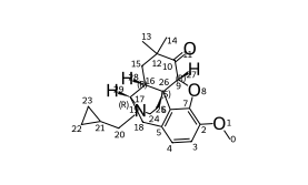 COc1ccc2c3c1O[C@H]1C(=O)C(C)(C)C[C@H]4[C@@H](C2)N(CC2CC2)CC[C@]314